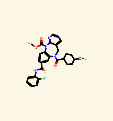 COC1CCC(C(=O)N2Cc3cccnc3N(C(=O)OC(C)(C)C)c3ccc(C(=O)Nc4ccccc4F)cc32)CC1